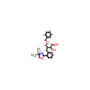 CC1(C)COC(c2ccccc2CC(COCc2ccccc2)C(O)CO)=N1